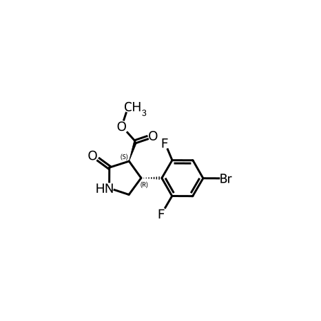 COC(=O)[C@@H]1C(=O)NC[C@H]1c1c(F)cc(Br)cc1F